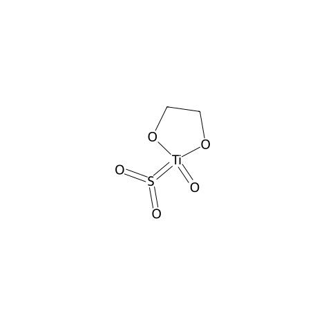 O=[S](=O)=[Ti]1(=[O])[O]CC[O]1